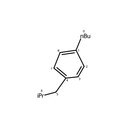 CCCCc1ccc(CC(C)C)cc1